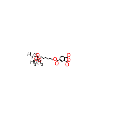 CO[Si](CCCCCCOC(=O)c1ccc2c(c1)C(=O)OC2=O)(OC)OC